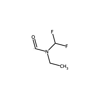 CCN([C]=O)C(F)F